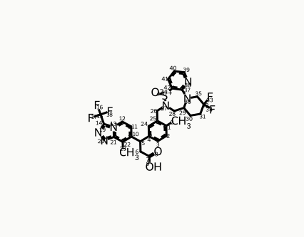 Cc1ccc(C(CC(=O)O)c2ccn3c(C(F)(F)F)nnc3c2C)cc1CN1CC2CCC(F)(F)CN2c2ncccc2[S+]1[O-]